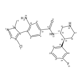 Cn1ncc(Cl)c1-c1ccc(C(=O)N[C@@H]2CNCC[C@H]2c2cccc(F)c2)cc1N